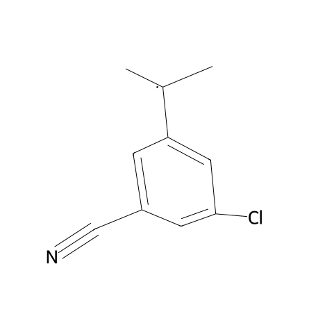 C[C](C)c1cc(Cl)cc(C#N)c1